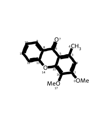 COc1cc(C)c2c(=O)c3ccccc3oc2c1OC